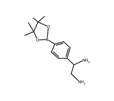 CC1(C)OB(c2ccc(C(N)CN)cc2)OC1(C)C